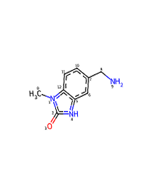 Cn1c(=O)[nH]c2cc(CN)ccc21